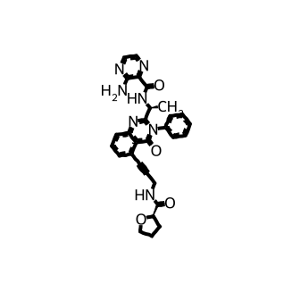 C[C@H](NC(=O)c1nccnc1N)c1nc2cccc(C#CCNC(=O)[C@H]3CCCO3)c2c(=O)n1-c1ccccc1